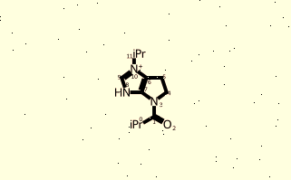 CC(C)C(=O)N1CCc2c1[nH]c[n+]2C(C)C